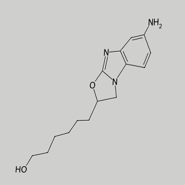 Nc1ccc2c(c1)nc1n2CC(CCCCCCO)O1